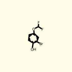 Oc1ccc(OC(F)F)cc1Br